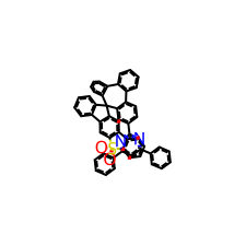 O=S1(=O)c2ccccc2-c2cc3c(cc21)-c1ccccc1C31c2ccccc2-c2ccccc2-c2ccc(-c3nc(-c4ccccc4)cc(-c4ccccc4)n3)cc21